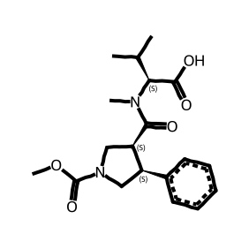 COC(=O)N1C[C@H](c2ccccc2)[C@H](C(=O)N(C)[C@H](C(=O)O)C(C)C)C1